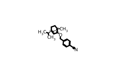 CC(C)[C@@]12CC[C@@](C)(O1)[C@@H](OCc1ccc(C#N)cc1)C2